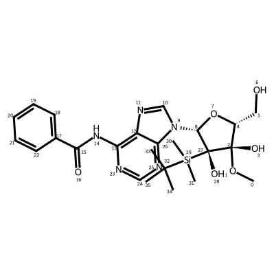 CO[C@@]1(O)[C@@H](CO)O[C@@H](n2cnc3c(NC(=O)c4ccccc4)ncnc32)[C@@]1(O)[Si](C)(C)C(C)(C)C